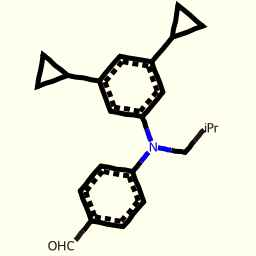 CC(C)CN(c1ccc(C=O)cc1)c1cc(C2CC2)cc(C2CC2)c1